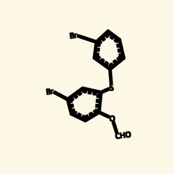 O=COc1ccc(Br)cc1Sc1cccc(Br)c1